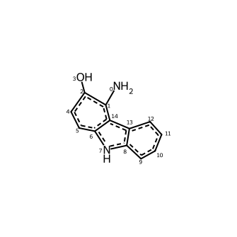 Nc1c(O)ccc2[nH]c3ccccc3c12